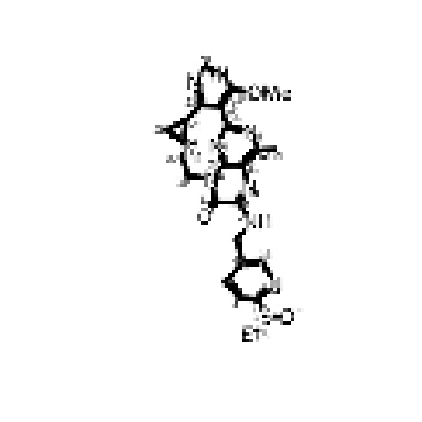 CC[S+]([O-])c1ccc(CNc2nc3c(C)nc(-c4c(OC)ncnc4C4CC4)nc3n(CC(C)C)c2=O)cn1